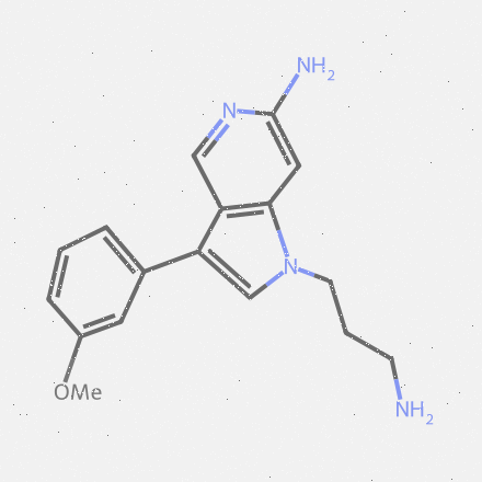 COc1cccc(-c2cn(CCCN)c3cc(N)ncc23)c1